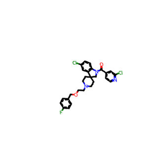 O=C(c1ccnc(Cl)c1)N1CC2(CCN(CCOCc3ccc(F)cc3)CC2)c2cc(Cl)ccc21